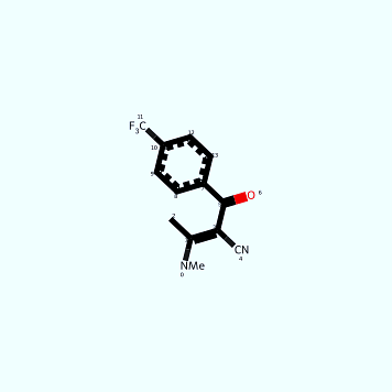 CNC(C)=C(C#N)C(=O)c1ccc(C(F)(F)F)cc1